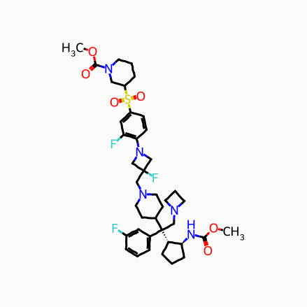 COC(=O)N[C@H]1CCC[C@@H]1C(CN1CCC1)(c1cccc(F)c1)C1CCN(CC2(F)CN(c3ccc(S(=O)(=O)C4CCCN(C(=O)OC)C4)cc3F)C2)CC1